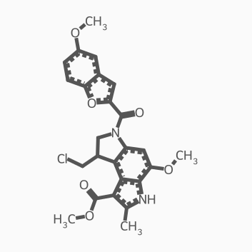 COC(=O)c1c(C)[nH]c2c(OC)cc3c(c12)C(CCl)CN3C(=O)c1cc2cc(OC)ccc2o1